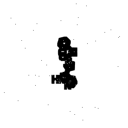 O=C(C1CCC1c1ccccc1Cl)N1CCC(c2c[nH]c3ncccc23)C1